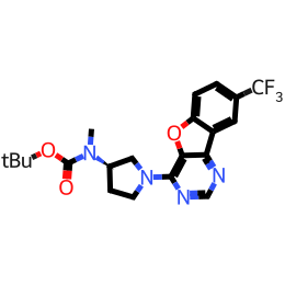 CN(C(=O)OC(C)(C)C)[C@@H]1CCN(c2ncnc3c2oc2ccc(C(F)(F)F)cc23)C1